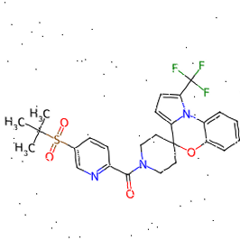 CC(C)(C)S(=O)(=O)c1ccc(C(=O)N2CCC3(CC2)Oc2ccccc2-n2c(C(F)(F)F)ccc23)nc1